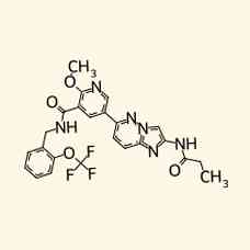 CCC(=O)Nc1cn2nc(-c3cnc(OC)c(C(=O)NCc4ccccc4OC(F)(F)F)c3)ccc2n1